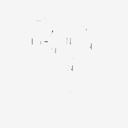 CC[C@H](C)[C@@H](CO)Nc1nc(N)nc2ccn(Cc3ccccc3)c12